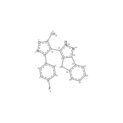 Cc1onc(-c2ccc(F)cc2)c1-c1[nH]nc2c1Cc1ccccc1-2